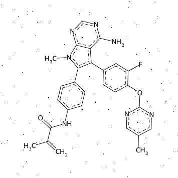 C=C(C)C(=O)Nc1ccc(-c2c(-c3ccc(Oc4ncc(C)cn4)c(F)c3)c3c(N)ncnc3n2C)cc1